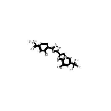 NC(=O)c1ccc(-c2noc(-c3cn4cc(C(F)(F)F)cc(Cl)c4n3)n2)c(Cl)c1